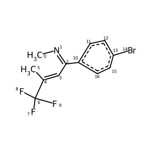 C/N=C(\C=C(/C)C(F)(F)F)c1ccc(Br)cc1